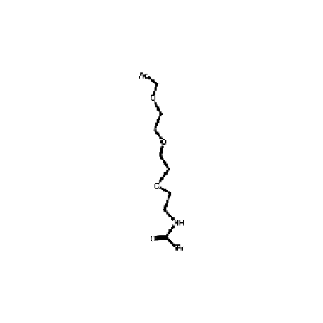 CC(=O)COCCOCCOCCNC(=O)C(C)C